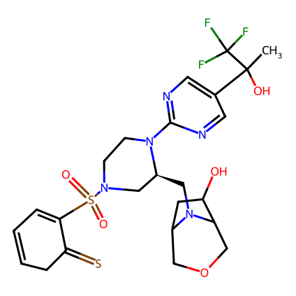 CC(O)(c1cnc(N2CCN(S(=O)(=O)C3=CC=CCC3=S)C[C@@H]2CN2C3COCC2C(O)C3)nc1)C(F)(F)F